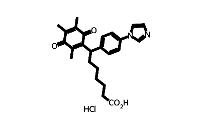 CC1=C(C)C(=O)C(C(CCCCCC(=O)O)c2ccc(-n3ccnc3)cc2)=C(C)C1=O.Cl